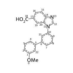 COc1cccc(-c2cccc(-n3cnc4ccc(C(=O)O)cc43)c2)c1